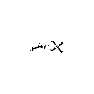 [CH2][Si](C)(C)C.[I][Mg][I]